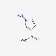 COC(=O)c1ccn(N)c1